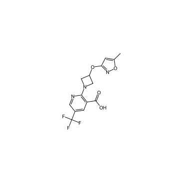 Cc1cc(OC2CN(c3ncc(C(F)(F)F)cc3C(=O)O)C2)no1